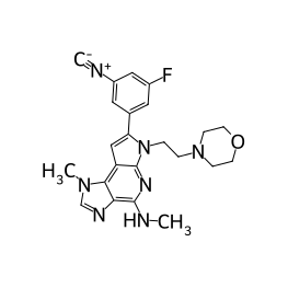 [C-]#[N+]c1cc(F)cc(-c2cc3c4c(ncn4C)c(NC)nc3n2CCN2CCOCC2)c1